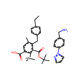 CCc1ccc(Cc2c(C)cc(C(=O)O)c([SiH](C)C)c2C(=O)OC(C)(C)C)cc1.NCc1ccc(-n2cccn2)cc1